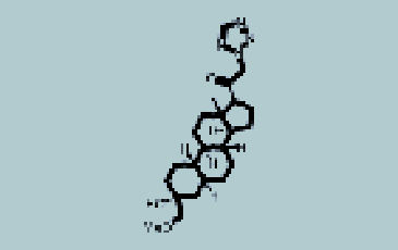 COC[C@@]1(O)CC[C@H]2[C@@H](CC[C@@H]3[C@@H]2CC[C@]2(C)[C@@H](C(=O)Cn4ncnn4)CC[C@@H]32)C1